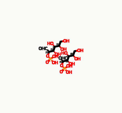 O=C[C@H](OP(=O)(O)O)[C@@H](O)[C@H](O)[C@H](O)CO.O=C[C@H](OP(=O)(O)O)[C@@H](O)[C@H](O)[C@H](O)CO